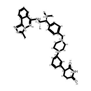 Cc1nnc2c3ccccc3c(N[C@@H](C)[C@H](c3ccc(CN4CCN(c5cccc(C6CCC(=O)NC6=O)c5)CC4)cc3)N(C)C)nn12